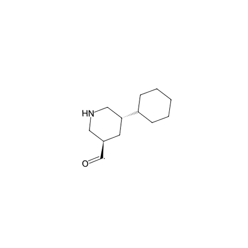 O=[C][C@H]1CNC[C@H](C2CCCCC2)C1